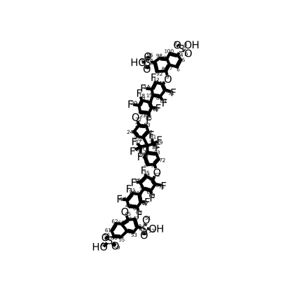 O=S(=O)(O)c1ccc2c(Oc3c(F)c(F)c(-c4c(F)c(F)c(Oc5ccc(C(c6ccc(Oc7c(F)c(F)c(-c8c(F)c(F)c(Oc9cc(S(=O)(=O)O)cc%10cc(S(=O)(=O)O)ccc9%10)c(F)c8F)c(F)c7F)cc6)(C(F)(F)F)C(F)(F)F)cc5)c(F)c4F)c(F)c3F)cc(S(=O)(=O)O)cc2c1